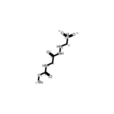 CC(C)(C)OC(=O)NCC(=O)NNC[SH](=O)=O